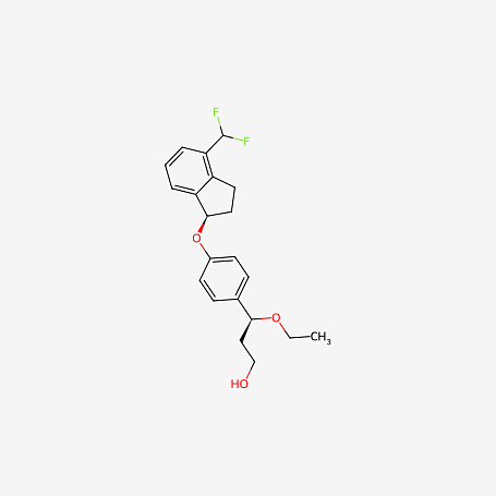 CCO[C@@H](CCO)c1ccc(O[C@@H]2CCc3c(C(F)F)cccc32)cc1